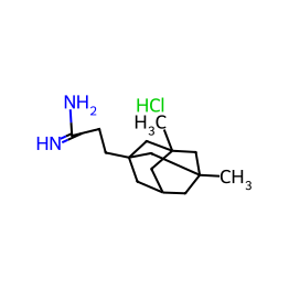 CC12CC3CC(C)(C1)CC(CCC(=N)N)(C3)C2.Cl